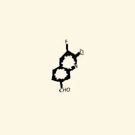 O=Cc1ccc2cc(F)c(Cl)nc2c1